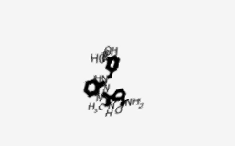 Cc1[nH]c2c(C(N)=O)cccc2c1-c1nc2c(c(NCc3cccc(B(O)O)c3)n1)CCCC2